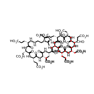 Cc1ncc([N+](=O)[O-])n1CCNN[C@@H](CCC(=O)O)C(=O)N[C@@H](CC(=O)O)C(=O)N[C@@H](CCC(=O)O)C(=O)N[C@@H](CC(=O)O)C(=O)N[C@@H](CCC(=O)O)C(=O)N[C@@H](CC(=O)O)C(=O)N[C@@H](CCC(=O)O)C(=O)N[C@@H](CC(=O)O)C(=O)N[C@@H](CCC(=O)O)C(=O)N[C@@H](CC(=O)O)C(=O)N[C@@H](CCC(=O)O)C(=O)N[C@@H](CC(=O)O)C(=O)N[C@@H](CCC(=O)O)C(=O)N[C@@H](CC(=O)O)C(=O)N[C@H](C=O)CCC(=O)O